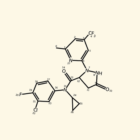 Cc1cc(C(F)(F)F)cc(N2NC(=O)CC2C(=O)N(c2ccc(F)c(Cl)c2)C2CC2)n1